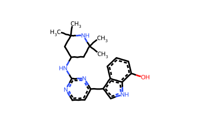 CC1(C)CC(Nc2nccc(-c3c[nH]c4c(O)cccc34)n2)CC(C)(C)N1